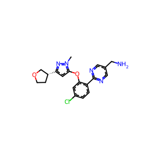 Cn1nc([C@@H]2CCOC2)cc1Oc1cc(Cl)ccc1-c1ncc(CN)cn1